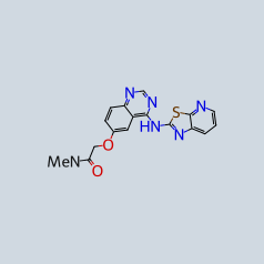 CNC(=O)COc1ccc2ncnc(Nc3nc4cccnc4s3)c2c1